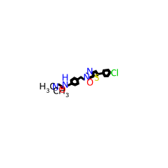 CN(C)CC(=O)NCc1ccc(CCn2cnc3cc(-c4ccc(Cl)cc4)sc3c2=O)cc1